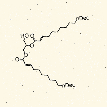 CCCCCCCCCCCCCCCCCC=CC(=O)OCC(CO)OC(=O)C=CCCCCCCCCCCCCCCCCC